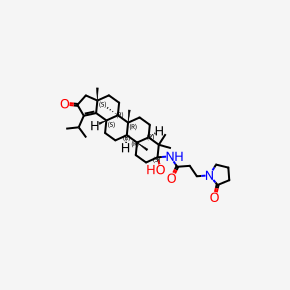 CC(C)C1=C2[C@H]3CC[C@@H]4[C@@]5(C)CC[C@@](O)(NC(=O)CCN6CCCC6=O)C(C)(C)[C@@H]5CC[C@@]4(C)[C@]3(C)CC[C@@]2(C)CC1=O